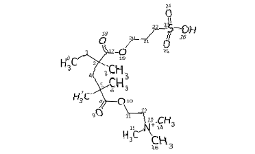 CCC(C)(CC(C)(C)C(=O)OCC[N+](C)(C)C)C(=O)OCCCS(=O)(=O)O